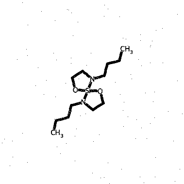 CCCCN1CCO[Si]12OCCN2CCCC